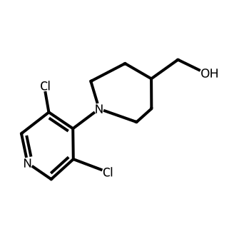 OCC1CCN(c2c(Cl)cncc2Cl)CC1